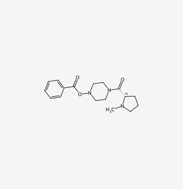 CN1CCC[C@H]1C(=O)N1CCN(OC(=O)c2ccccc2)CC1